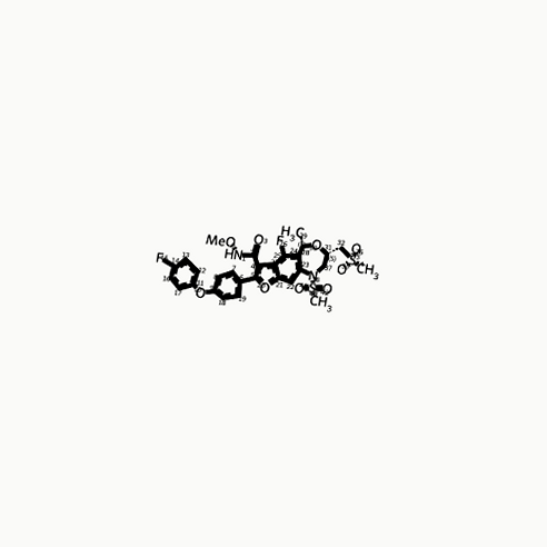 CONC(=O)c1c(-c2ccc(Oc3ccc(F)cc3)cc2)oc2cc3c(c(F)c12)[C@H](C)O[C@H](CS(C)(=O)=O)CN3S(C)(=O)=O